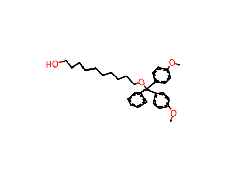 COc1ccc(C(OCCCCCCCCCCO)(c2ccccc2)c2ccc(OC)cc2)cc1